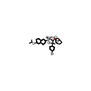 CC(C)Oc1ccc2cc(S(=O)(=O)N(C)C(C(=O)N3C4CCC3CC(N)C4)C(F)(F)c3ccc(Br)cc3)ccc2c1